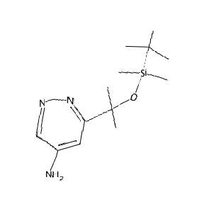 CC(C)(O[Si](C)(C)C(C)(C)C)c1cc(N)cnn1